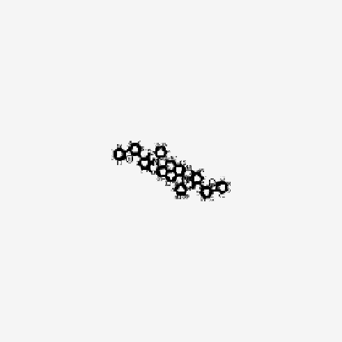 Cc1ccc(-c2cccc3c2oc2ccccc23)c(C)c1N(c1ccccc1)c1ccc2ccc3c(N(c4ccccc4)c4c(C)ccc(-c5cccc6c5oc5ccccc56)c4C)ccc4ccc1c2c43